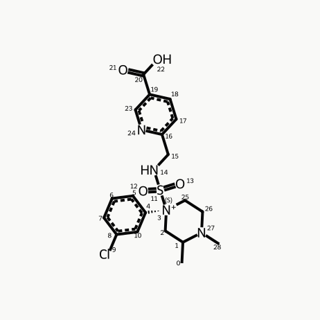 CC1C[N@@+](c2cccc(Cl)c2)(S(=O)(=O)NCc2ccc(C(=O)O)cn2)CCN1C